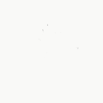 CC(C)C[C@H](NC(=O)OC(c1ccccc1)C1(c2cccc(Cl)c2)CC1)C(=O)N[C@H](C=O)C[C@@H]1CCNC1=O